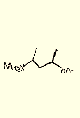 CCCC(C)CC(C)NC